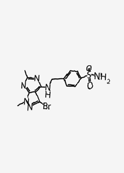 Cc1nc(NCc2ccc(S(N)(=O)=O)cc2)c2c(Br)nn(C)c2n1